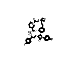 O=C(O)C1CCCN(C(=O)COC2(CCc3ccc([C@@H]4[C@@H](CCC(O)c5ccc(F)cc5)C(=O)N4c4ccc(F)cc4)cc3)COC2)C1